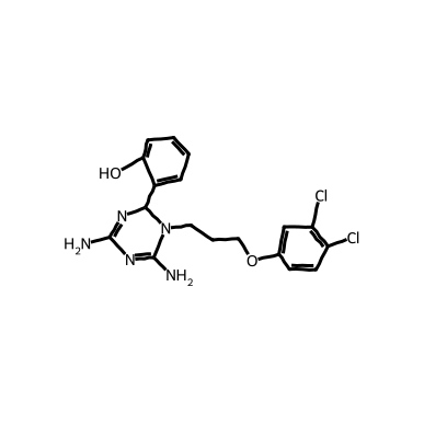 NC1=NC(c2ccccc2O)N(CCCOc2ccc(Cl)c(Cl)c2)C(N)=N1